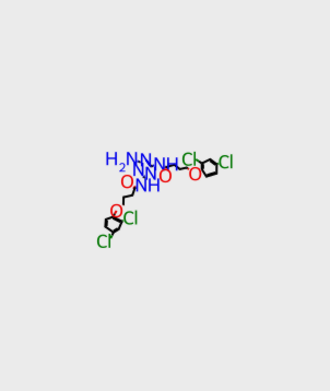 Nc1nc(NC(=O)CCCOc2ccc(Cl)cc2Cl)nc(NC(=O)CCCOc2ccc(Cl)cc2Cl)n1